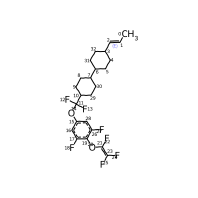 C/C=C/C1CCC(C2CCC(C(F)(F)Oc3cc(F)c(OC(F)=C(F)F)c(F)c3)CC2)CC1